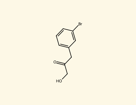 O=C(CO)Cc1cccc(Br)c1